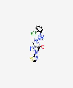 Cc1nn(-c2nccs2)cc1C(=O)NNc1ccccc1Cl